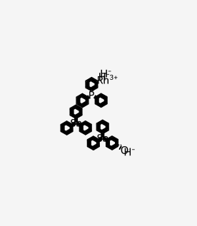 [C]=O.[H-].[H-].[H-].[Rh+3].c1cc[c]([Sb]([c]2ccccc2)[c]2ccccc2)cc1.c1cc[c]([Sb]([c]2ccccc2)[c]2ccccc2)cc1.c1ccc(P(c2ccccc2)c2ccccc2)cc1